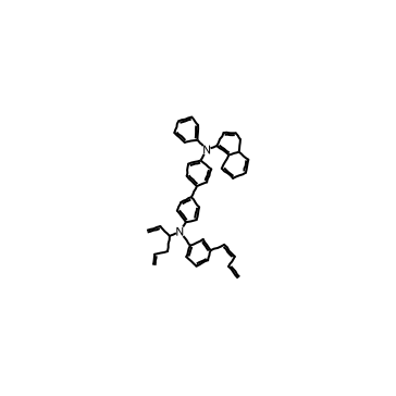 C=C/C=C\c1cccc(N(c2ccc(-c3ccc(N(C4=C5C=CC=CC5CC=C4)c4ccccc4)cc3)cc2)C(C=C)CC=C)c1